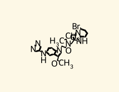 CC(=O)c1cn(CC(=O)N(CC(=O)Nc2cccc(Br)n2)C(C)C)c2ccc(Nc3cncnc3)cc12